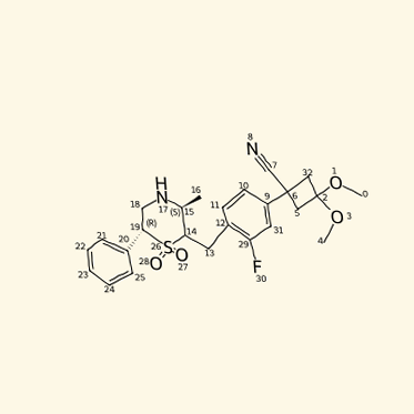 COC1(OC)CC(C#N)(c2ccc(CC3[C@H](C)NC[C@@H](c4ccccc4)S3(=O)=O)c(F)c2)C1